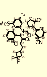 CSc1cc(F)cc(N(C(=O)[C@@H]2CCC(=O)N2c2cc(C#N)ccn2)C(C(=O)CCC2CC(F)(F)C2)c2ccccc2Cl)c1